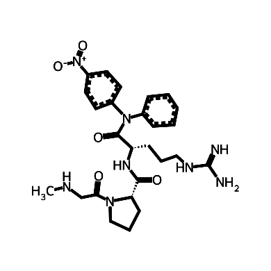 CNCC(=O)N1CCC[C@H]1C(=O)N[C@@H](CCCNC(=N)N)C(=O)N(c1ccccc1)c1ccc([N+](=O)[O-])cc1